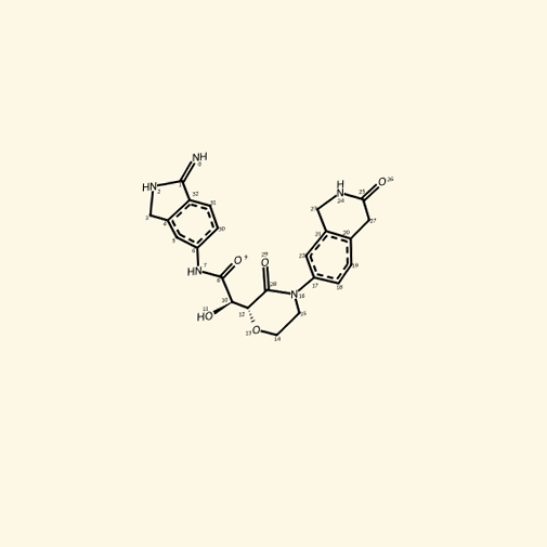 N=C1NCc2cc(NC(=O)[C@H](O)[C@H]3OCCN(c4ccc5c(c4)CNC(=O)C5)C3=O)ccc21